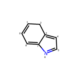 C1=CCC2=CC=NC2=C1